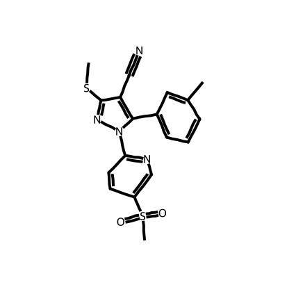 CSc1nn(-c2ccc(S(C)(=O)=O)cn2)c(-c2cccc(C)c2)c1C#N